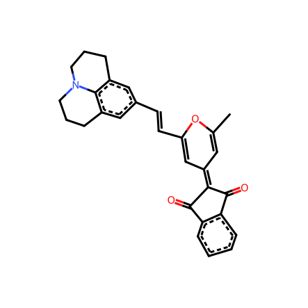 CC1=CC(=C2C(=O)c3ccccc3C2=O)C=C(C=Cc2cc3c4c(c2)CCCN4CCC3)O1